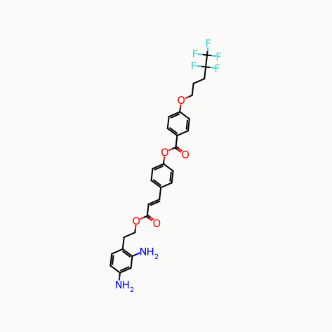 Nc1ccc(CCOC(=O)C=Cc2ccc(OC(=O)c3ccc(OCCCC(F)(F)C(F)(F)F)cc3)cc2)c(N)c1